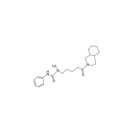 O=C(Nc1ccccc1)N(S)CCCCC(=O)N1CCC2CCCCC2C1